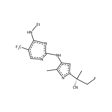 CCNc1nc(Nc2cn([C@](C)(C#N)CF)nc2C)ncc1C(F)(F)F